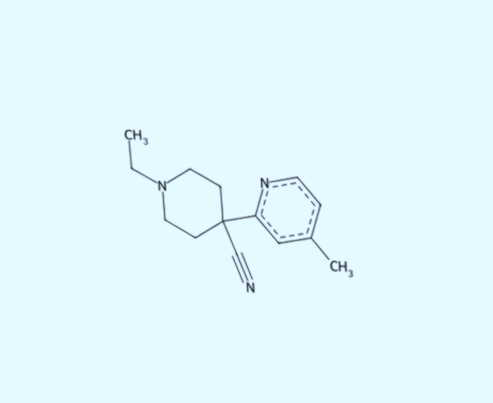 CCN1CCC(C#N)(c2cc(C)ccn2)CC1